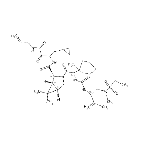 C=CCNC(=O)C(=O)C(CC1CC1)NC(=O)[C@@H]1[C@@H]2[C@H](CN1C(=O)[C@@H](NC(=O)N[C@H](CN(C)S(=O)(=O)CC)C(=C)C)C1(C)CCCCC1)C2(C)C